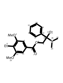 CCc1c(OC)cc(C(=O)OCC(CC)(c2ccccc2)N(C)C)cc1OC